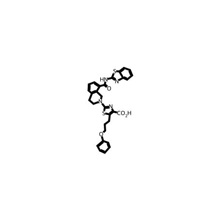 O=C(Nc1nc2ccccc2s1)c1cccc2c1CN(c1nc(C(=O)O)c(CCCOc3ccccc3)s1)CC2